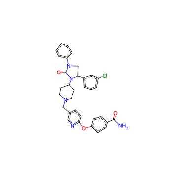 NC(=O)c1ccc(Oc2ccc(CN3CCC(N4C(=O)N(c5ccccc5)CC4c4cccc(Cl)c4)CC3)cn2)cc1